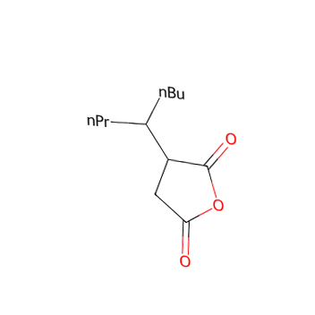 CCCCC(CCC)C1CC(=O)OC1=O